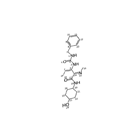 C/C=C(NC(=O)NCc1ccccc1)\C(=N/C)C(=O)NC1CCC(O)CC1